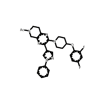 CC(=O)N1CCc2nc(N3CCC(Oc4ccc(F)cc4F)CC3)c(-c3cnn(-c4ccccc4)c3)nc2C1